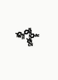 CC(=O)c1cc(-n2nc(C#N)cc2C)nc(-n2cnc3ccc(Nc4ccc(C)nn4)cc32)c1